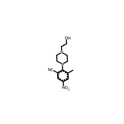 Cc1cc([N+](=O)[O-])cc(C#N)c1N1CCN(CCO)CC1